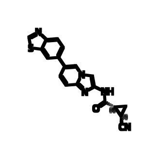 N#C[C@@H]1C[C@H]1C(=O)Nc1cn2cc(-c3ccc4ncsc4c3)ccc2n1